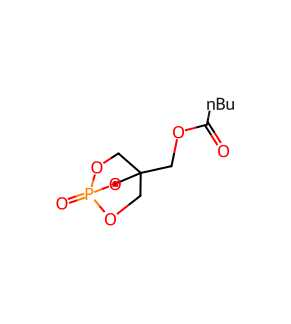 CCCCC(=O)OCC12COP(=O)(OC1)OC2